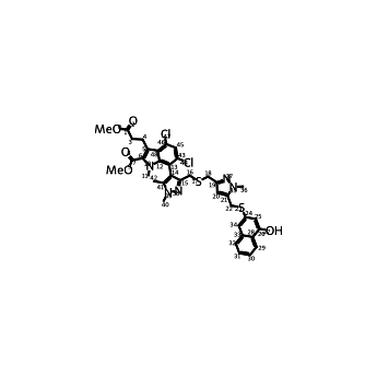 COC(=O)CCc1c(C(=O)OC)n(C)c2c(-c3c(CSCc4cc(CSc5cc(O)c6ccccc6c5)n(C)n4)nn(C)c3C)c(Cl)cc(Cl)c12